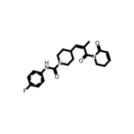 CC(=CC1CCN(C(=O)Nc2ccc(F)cc2)CC1)C(=O)N1CCC=CC1=O